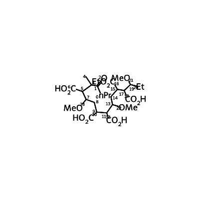 CCCC(=O)C(C)C(C(=O)O)C(CC(C(=O)O)C(C(=O)O)C(CC(C(=O)OCC)C(C(=O)O)C(CC)OC)OC)OC